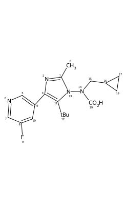 Cc1nc(-c2cncc(F)c2)c(C(C)(C)C)n1N(CC1CC1)C(=O)O